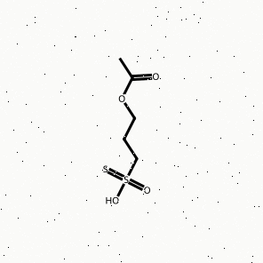 CC(=O)OCCCS(=O)(O)=S